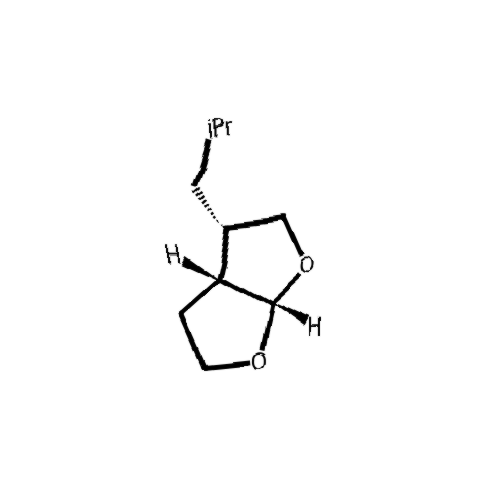 CC(C)C[C@@H]1CO[C@@H]2OCC[C@H]12